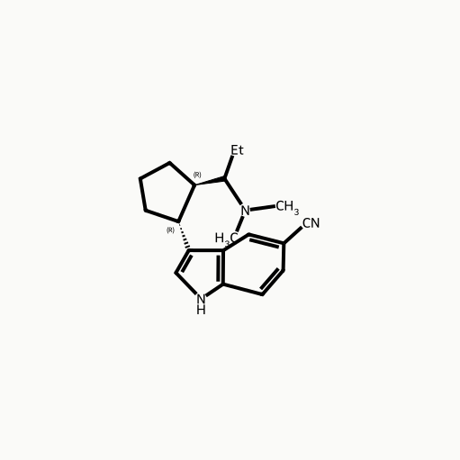 CCC([C@@H]1CCC[C@H]1c1c[nH]c2ccc(C#N)cc12)N(C)C